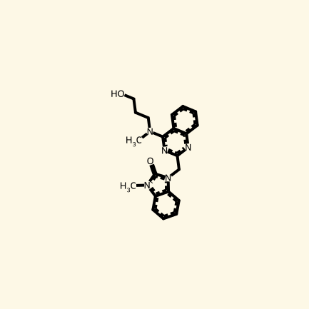 CN(CCCO)c1nc(Cn2c(=O)n(C)c3ccccc32)nc2ccccc12